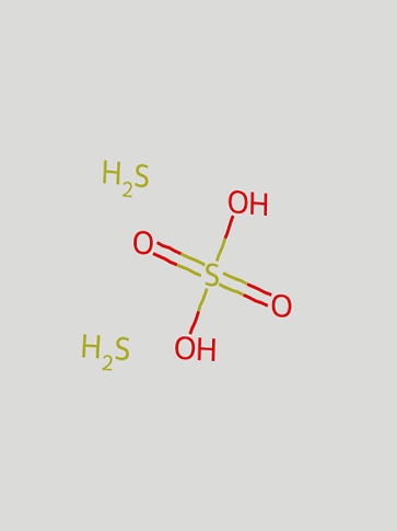 O=S(=O)(O)O.S.S